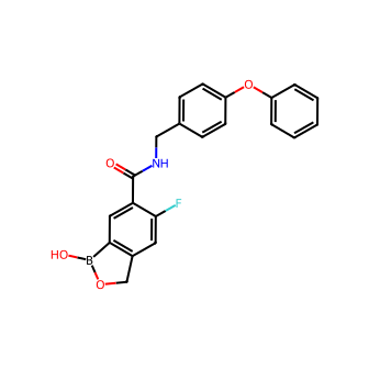 O=C(NCc1ccc(Oc2ccccc2)cc1)c1cc2c(cc1F)COB2O